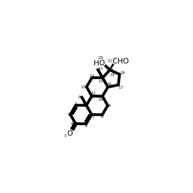 CC12C=CC(=O)C=C1CCC1C2CCC2(C)C1CC[C@]2(O)C=O